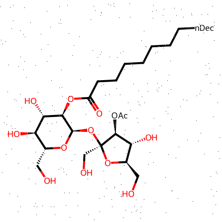 CCCCCCCCCCCCCCCCCC(=O)O[C@H]1[C@@H](O[C@]2(CO)O[C@H](CO)[C@@H](O)[C@@H]2OC(C)=O)O[C@H](CO)[C@@H](O)[C@@H]1O